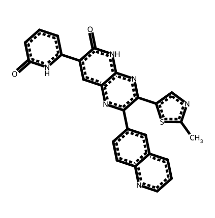 Cc1ncc(-c2nc3[nH]c(=O)c(-c4cccc(=O)[nH]4)cc3nc2-c2ccc3ncccc3c2)s1